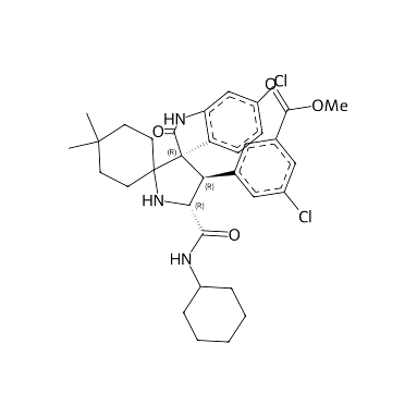 COC(=O)c1cc(Cl)cc([C@H]2[C@H](C(=O)NC3CCCCC3)NC3(CCC(C)(C)CC3)[C@@]23C(=O)Nc2cc(Cl)ccc23)c1